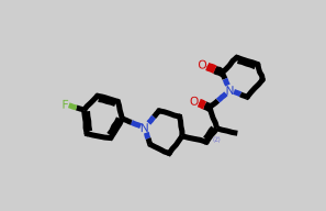 C/C(=C/C1CCN(c2ccc(F)cc2)CC1)C(=O)N1CCC=CC1=O